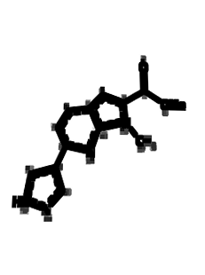 COC(=O)c1cc2ccc(-c3cn[nH]c3)nc2n1C